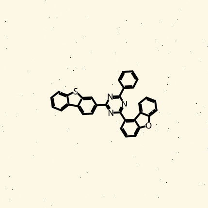 c1ccc(-c2nc(-c3ccc4c(c3)sc3ccccc34)nc(-c3cccc4oc5ccccc5c34)n2)cc1